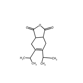 CC(C)C1=C(C(C)C)CC2C(=O)OC(=O)C2C1